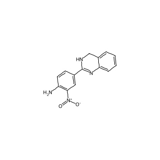 Nc1ccc(C2=Nc3ccccc3CN2)cc1[N+](=O)[O-]